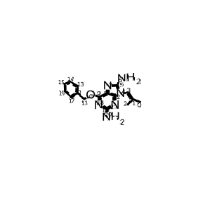 CC(C)=Cn1c(N)nc2c(OCc3ccccc3)nc(N)nc21